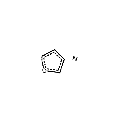 [Ar].c1ccoc1